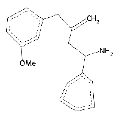 C=C(Cc1cccc(OC)c1)CC(N)c1ccccc1